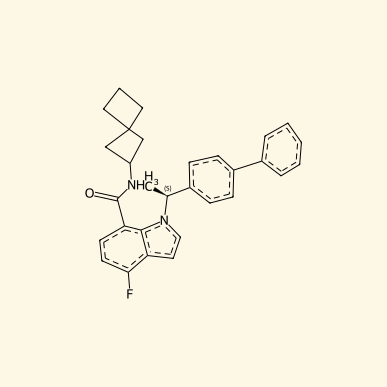 C[C@@H](c1ccc(-c2ccccc2)cc1)n1ccc2c(F)ccc(C(=O)NC3CC4(CCC4)C3)c21